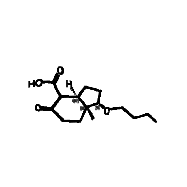 CCCCO[C@@H]1CC[C@@H]2C(C(=O)O)C(=O)CC[C@]21C